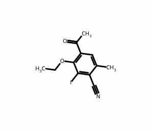 CCOc1c(C(C)=O)cc(C)c(C#N)c1I